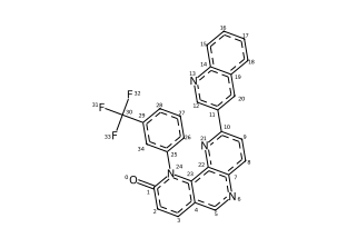 O=c1ccc2cnc3ccc(-c4cnc5ccccc5c4)nc3c2n1-c1cccc(C(F)(F)F)c1